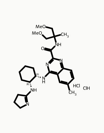 COCC(C)(COC)NC(=O)c1nc(N[C@H]2CCCC[C@H]2NC2=NCCC2)c2cc(C)ccc2n1.Cl.Cl